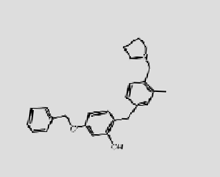 Cc1cc(Cc2[c]cc(OCc3ccccc3)cc2O)ccc1CN1CCCC1